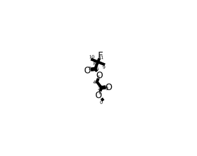 COC(=O)COC(=O)C(C)(C)F